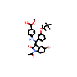 COC(=O)c1ccc(N/C(=C2\C(=O)N(C(C)=O)c3ccc(Br)cc32)c2cccc(O[Si](C)(C)C(C)(C)C)c2)cc1